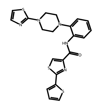 O=C(Nc1ccccc1N1CCN(c2nccs2)CC1)c1csc(-c2cccs2)n1